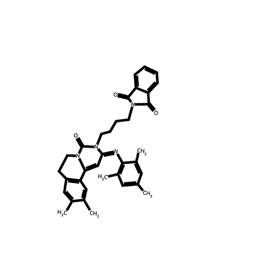 Cc1cc(C)c(/N=c2\cc3n(c(=O)n2CCCCN2C(=O)c4ccccc4C2=O)CCc2cc(C)c(C)cc2-3)c(C)c1